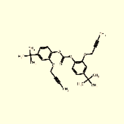 CC#CCOc1cc(C(C)(C)C)ccc1OC(=O)Oc1ccc(C(C)(C)C)cc1OCC#CC